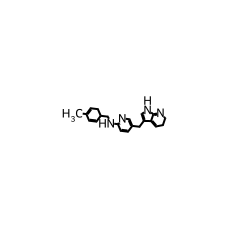 CC1=CCC(CNc2ccc(Cc3c[nH]c4c3=CCCN=4)cn2)C=C1